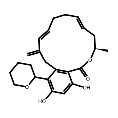 C=C1/C=C/CC/C=C/C[C@@H](C)OC(=O)c2c(O)cc(O)c(C3CCCCO3)c2C1